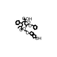 CCC(CC(CC(C)(CC(C)C(=O)OCc1ccccc1)C(=O)O)c1ccccc1)C(=O)OCCOC1CC2CC1C1CC(O)CC21